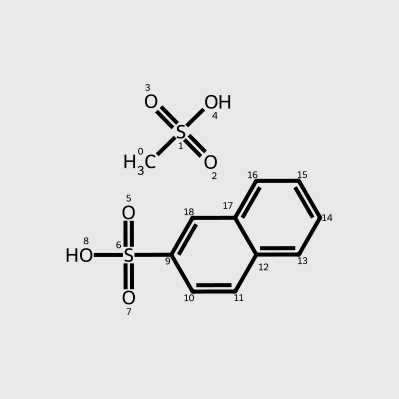 CS(=O)(=O)O.O=S(=O)(O)c1ccc2ccccc2c1